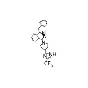 FC(F)(F)c1c[nH]c(C2CCN(C3=NN=C(Cc4ccccc4)C4=CC=CCC43)CC2)n1